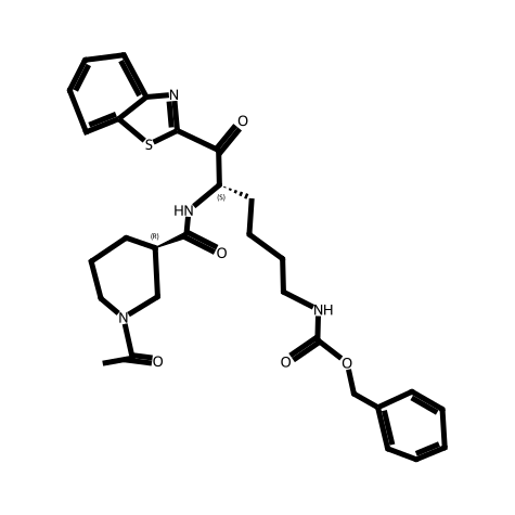 CC(=O)N1CCC[C@@H](C(=O)N[C@@H](CCCCNC(=O)OCc2ccccc2)C(=O)c2nc3ccccc3s2)C1